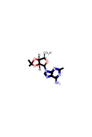 Cc1nc(N)c2ncn(C3O[C@H](C(=O)O)[C@H]4OC(C)(C)O[C@@H]34)c2n1